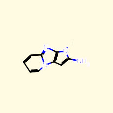 Cn1c(N)cc2c1nc1ccccn12